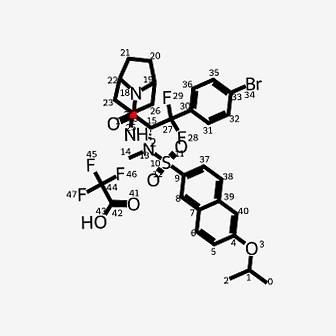 CC(C)Oc1ccc2cc(S(=O)(=O)N(C)[C@H](C(=O)N3C4CCC3CC(N)C4)C(F)(F)c3ccc(Br)cc3)ccc2c1.O=C(O)C(F)(F)F